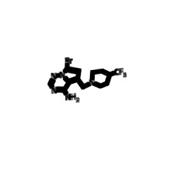 Nc1ncnn2c(Br)cc(CN3CCC(C(F)(F)F)CC3)c12